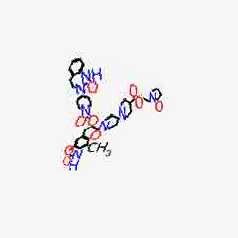 Cc1cc(C[C@@H](OC(=O)N2CCC(N3CCc4ccccc4NC3=O)CC2)C(=O)N2CCC(N3CCC(C(=O)OCCN4CCCC4=O)CC3)CC2)cc2oc(=O)[nH]c12